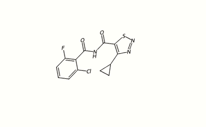 O=C(NC(=O)c1c(F)cccc1Cl)c1snnc1C1CC1